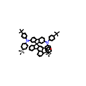 CC(C)(C)c1ccc(N(c2ccc([Si](C)(C)C)cc2)c2ccc3c(c2)C2(c4cc(N(c5ccc(C(C)(C)C)cc5)c5ccc([Si](C)(C)C)cc5)ccc4-3)c3ccccc3-c3c2cc2c4c(cccc34)-c3ccccc3-2)cc1